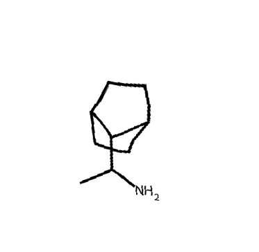 CC(N)C1C2CCC1CC2